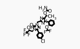 C[C@@H](OC(N)=O)c1nc(Cn2nc(-c3ccc(Cl)cc3)n(C[C@H](O)C(F)(F)F)c2=O)nn1-c1ccccc1OC(F)F